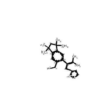 CC(C)=C(Cc1ccno1)c1cc2c(cc1CC(C)C)C(C)(C)CC2(C)C